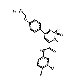 CN1C(C(=O)Nc2ccc(F)c(Cl)c2)=CC(c2ccc(OCC(=O)O)cc2)=NS1(=O)=O